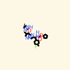 C[C@@H]1CN(Cc2cnn3cc([C@@H](NC(=O)OC4CCCC4)C4CCC(C)(F)CC4)nc3c2)C(=O)N1